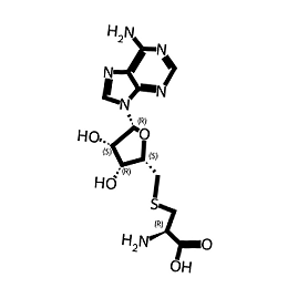 Nc1ncnc2c1ncn2[C@@H]1O[C@H](CSC[C@H](N)C(=O)O)[C@H](O)[C@@H]1O